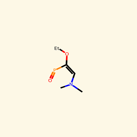 CCOC(=CN(C)C)P=O